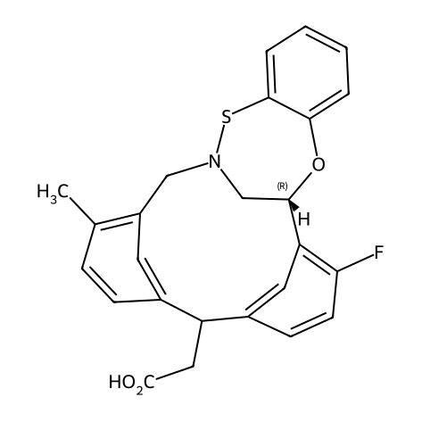 Cc1ccc2cc1CN1C[C@H](Oc3ccccc3S1)c1cc(ccc1F)C2CC(=O)O